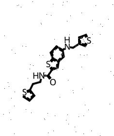 O=C(NCCc1cccs1)c1cc2cc(NCc3ccsc3)ccc2s1